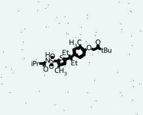 CCC(CC)(c1ccc(OCC(=O)C(C)(C)C)c(C)c1)c1cc(C)c(S(=O)(=O)NC(=O)C(C)C)s1